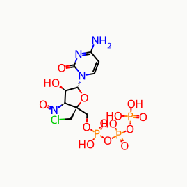 Nc1ccn([C@@H]2O[C@](CCl)(COP(=O)(O)OP(=O)(O)OP(=O)(O)O)[C@@H](N=O)[C@H]2O)c(=O)n1